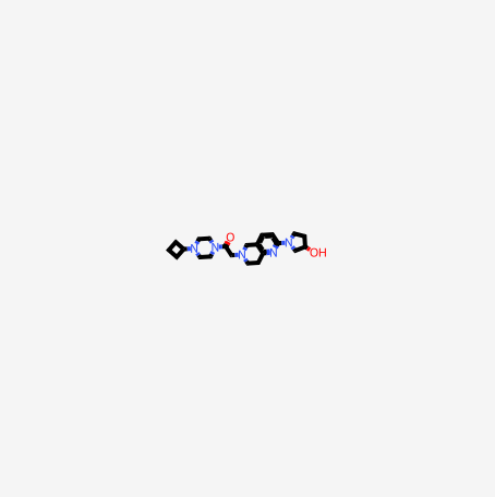 O=C(CN1CCc2nc(N3CCC(O)C3)ccc2C1)N1CCN(C2CCC2)CC1